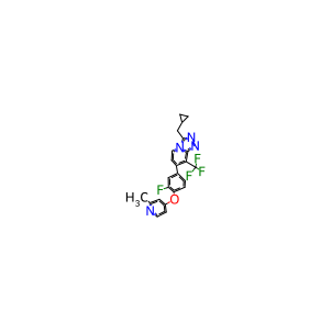 Cc1cc(Oc2ccc(-c3ccn4c(CC5CC5)nnc4c3C(F)(F)F)cc2F)ccn1